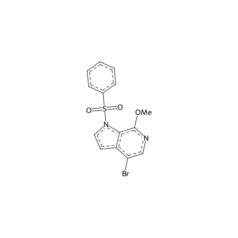 COc1ncc(Br)c2ccn(S(=O)(=O)c3ccccc3)c12